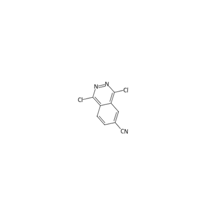 N#Cc1ccc2c(Cl)nnc(Cl)c2c1